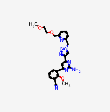 COCCOCc1cccc(Cn2cc(-c3cc(-c4cccc(C#N)c4OC)nc(N)n3)nn2)n1